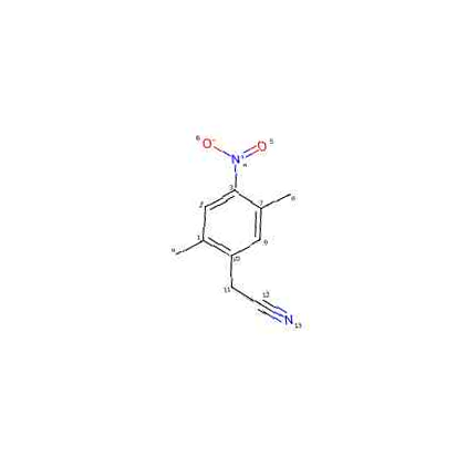 Cc1cc([N+](=O)[O-])c(C)cc1CC#N